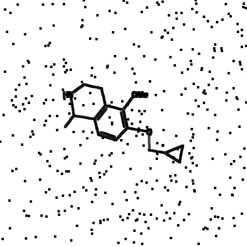 COc1c(OCC2CC2)ccc2c1CCNC2C